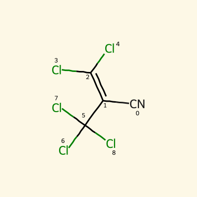 N#CC(=C(Cl)Cl)C(Cl)(Cl)Cl